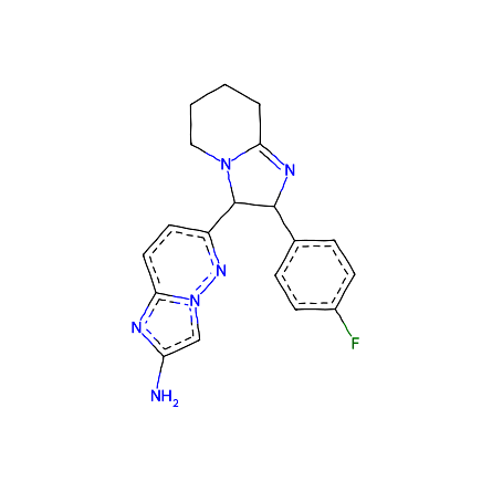 Nc1cn2nc(C3C(c4ccc(F)cc4)N=C4CCCCN43)ccc2n1